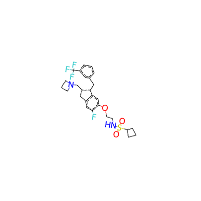 O=S(=O)(NCCOc1cc2c(cc1F)CC(CN1CCC1)C2Cc1cccc(C(F)(F)F)c1)C1CCC1